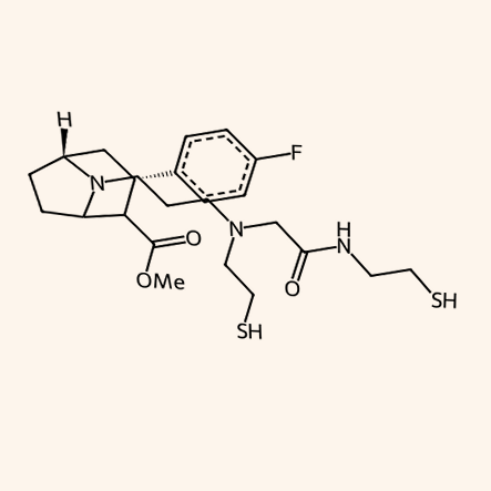 COC(=O)C1C2CC[C@H](C[C@@H]1c1ccc(F)cc1)N2CCCN(CCS)CC(=O)NCCS